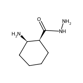 NNC(=O)[C@H]1CCCC[C@H]1N